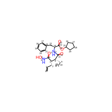 C=CC[C@H](C(=O)NO)[C@@H](CC(C)C)C(=O)N[C@@H](Cc1ccccc1)C(=O)OC1CCCC1